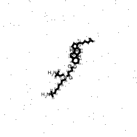 CC(C)CCC[C@@H](C)C1CC[C@H]2[C@@H]3CC=C4C[C@@H](OC(=O)CCC(=O)N(CCCCCCCC(C)(C)N)CCC(C)(C)N)CC[C@]4(C)[C@H]3CC[C@]12C